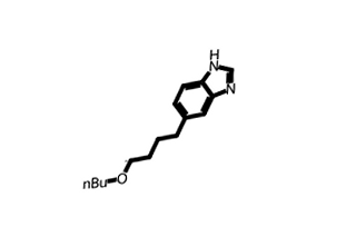 CCCCO[CH]CCCc1ccc2[nH]cnc2c1